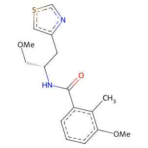 COC[C@H](Cc1cscn1)NC(=O)c1cccc(OC)c1C